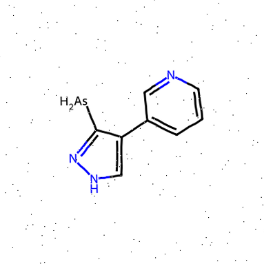 [AsH2]c1n[nH]cc1-c1cccnc1